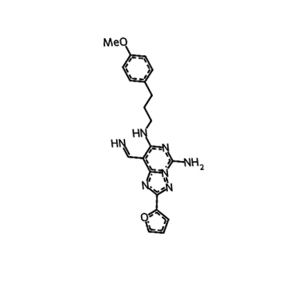 COc1ccc(CCCNc2nc(N)n3nc(-c4ccco4)nc3c2C=N)cc1